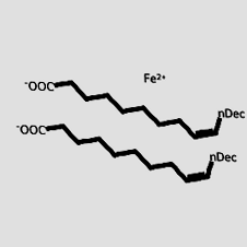 CCCCCCCCCC/C=C\CCCCCCCC(=O)[O-].CCCCCCCCCC/C=C\CCCCCCCC(=O)[O-].[Fe+2]